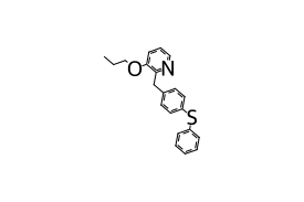 CCCOc1cccnc1Cc1ccc(Sc2ccccc2)cc1